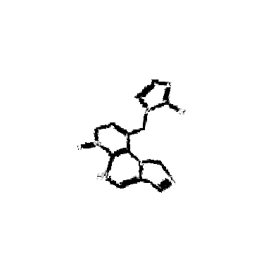 CCc1nccn1CC1=CC[N+](=O)C2=C1N1CN=CC1=CN2